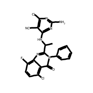 CC(Nc1nc(N)nc(Cl)c1C#N)c1nc2c(F)ccc(Cl)c2c(=O)n1-c1ccccc1